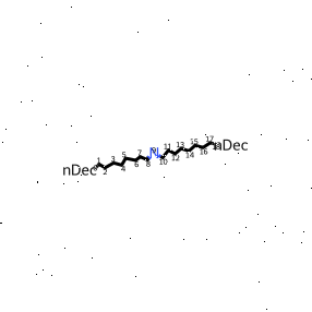 CCCCCCCCCCCCCCCCCC=NCCCCCCCCCCCCCCCCCC